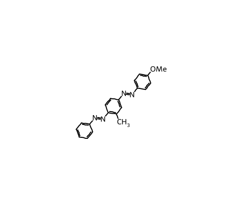 COc1ccc(N=Nc2ccc(/N=N/c3ccccc3)c(C)c2)cc1